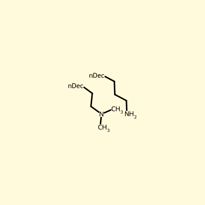 CCCCCCCCCCCCCN.CCCCCCCCCCCCN(C)C